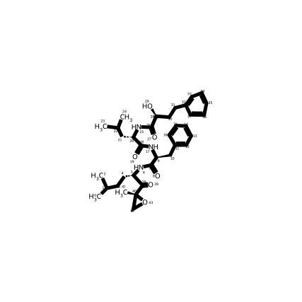 CC(C)CC[C@H](NC(=O)[C@H](Cc1ccccc1)NC(=O)[C@H](CC(C)C)NC(=O)[C@@H](O)CCc1ccccc1)C(=O)[C@@]1(C)CO1